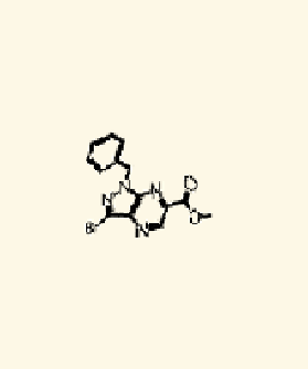 COC(=O)c1cnc2c(Br)nn(Cc3ccccc3)c2n1